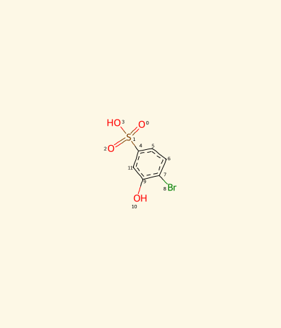 O=S(=O)(O)c1ccc(Br)c(O)c1